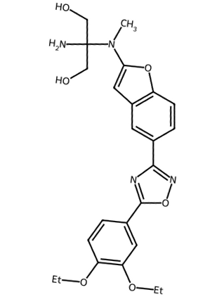 CCOc1ccc(-c2nc(-c3ccc4oc(N(C)C(N)(CO)CO)cc4c3)no2)cc1OCC